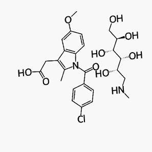 CNC[C@H](O)[C@@H](O)[C@H](O)[C@H](O)CO.COc1ccc2c(c1)c(CC(=O)O)c(C)n2C(=O)c1ccc(Cl)cc1